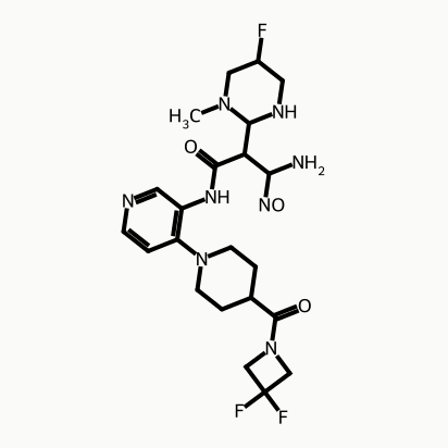 CN1CC(F)CNC1C(C(=O)Nc1cnccc1N1CCC(C(=O)N2CC(F)(F)C2)CC1)C(N)N=O